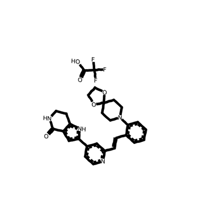 O=C(O)C(F)(F)F.O=C1NCCc2[nH]c(-c3ccnc(/C=C/c4ccccc4N4CCC5(CC4)OCCO5)c3)cc21